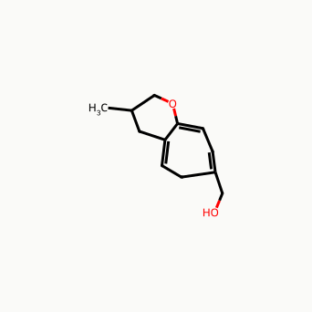 CC1COC2=CC=C(CO)CC=C2C1